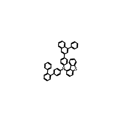 c1ccc(-c2ccccc2-c2ccc(N(c3ccc(-c4cc(-c5ccccc5)c5ccccc5c4)cc3)c3cccc4sc5ccccc5c34)cc2)cc1